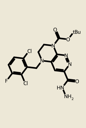 CC(C)(C)OC(=O)N1CCN(Cc2c(Cl)ccc(F)c2Cl)c2cc(C(=O)NN)nnc21